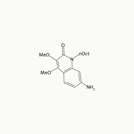 CCCCCCCCn1c(=O)c(OC)c(OC)c2ccc(N)cc21